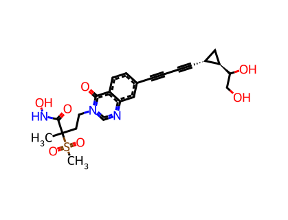 CC(CCn1cnc2cc(C#CC#C[C@@H]3C[C@H]3C(O)CO)ccc2c1=O)(C(=O)NO)S(C)(=O)=O